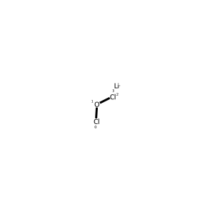 ClOCl.[Li]